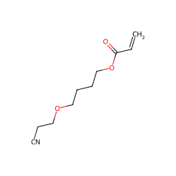 C=CC(=O)OCCCCOCCC#N